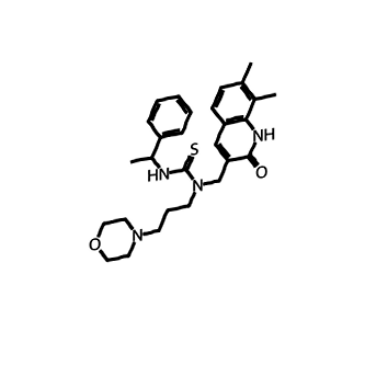 Cc1ccc2cc(CN(CCCN3CCOCC3)C(=S)NC(C)c3ccccc3)c(=O)[nH]c2c1C